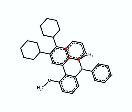 COc1cc(C2CCCCC2)c(C2CCCCC2)[c]c1-c1c(OC)cccc1P(c1ccccc1)c1ccccc1